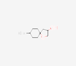 CC(C)(C)C1CCC2(CC1)CC(O)CO2